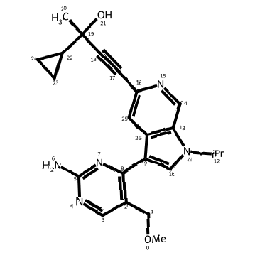 COCc1cnc(N)nc1-c1cn(C(C)C)c2cnc(C#CC(C)(O)C3CC3)cc12